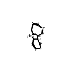 C1=CC2NC3CC=CN=CC3C2CC1